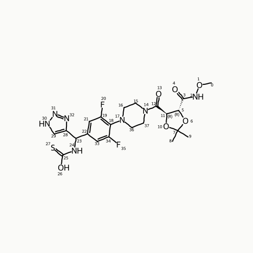 CONC(=O)[C@@H]1OC(C)(C)O[C@H]1C(=O)N1CCN(c2c(F)cc(C(NC(O)=S)c3c[nH]nn3)cc2F)CC1